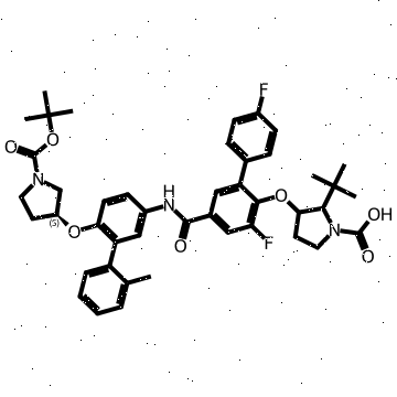 Cc1ccccc1-c1cc(NC(=O)c2cc(F)c(OC3CCN(C(=O)O)C3C(C)(C)C)c(-c3ccc(F)cc3)c2)ccc1O[C@H]1CCN(C(=O)OC(C)(C)C)C1